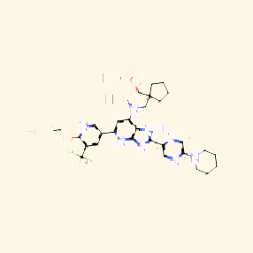 CCOc1ncc(-c2cc(N(C)CC3(COC)CCCC3)c3[nH]c(-c4cnc(N5CCCCC5)cn4)nc3n2)cc1C(F)(F)F